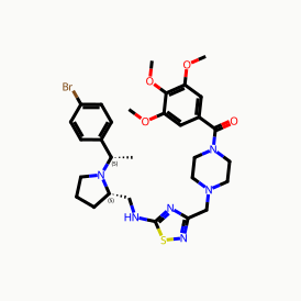 COc1cc(C(=O)N2CCN(Cc3nsc(NC[C@@H]4CCCN4[C@@H](C)c4ccc(Br)cc4)n3)CC2)cc(OC)c1OC